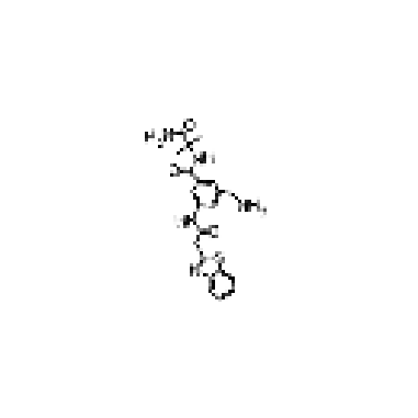 CC(C)(NC(=O)c1cc(CN)cc(NC(=O)Cc2nc3ccccc3s2)c1)C(N)=O